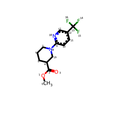 COC(=O)C1CCCN(c2ccc(C(F)(F)F)cn2)C1